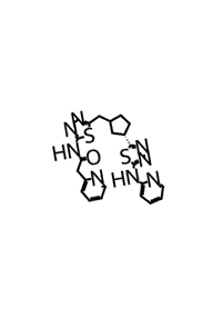 O=C(Cc1ccccn1)Nc1nnc(CC2CC[C@H](c3nnc(Nc4ccccn4)s3)C2)s1